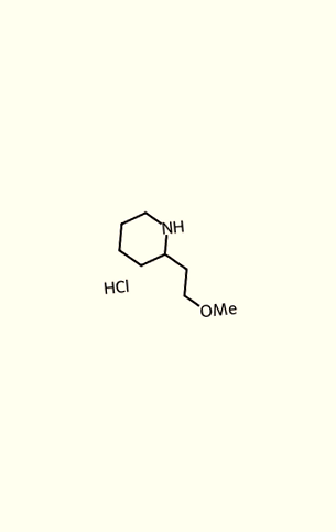 COCCC1CCCCN1.Cl